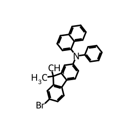 CC1(C)c2cc(Br)ccc2-c2ccc(N(c3ccccc3)c3cccc4ccccc34)cc21